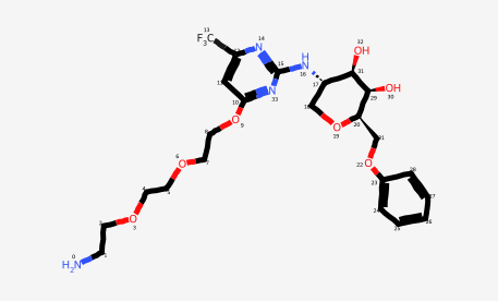 NCCOCCOCCOc1cc(C(F)(F)F)nc(N[C@H]2CO[C@H](COc3ccccc3)[C@H](O)[C@@H]2O)n1